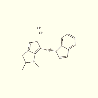 CP1CC2=CC[C]([Hf+2][CH]3C=Cc4ccccc43)=C2P1C.[Cl-].[Cl-]